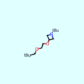 CC(C)(C)COCCOC1CN(C(C)(C)C)C1